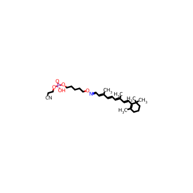 CC1=C(/C=C/C(C)=C/C=C/C(C)=C/C=NOCCCCCOP(=O)(O)OCCC#N)C(C)(C)CCC1